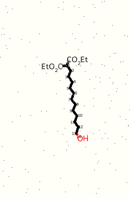 CCOC(=O)C(CCCCCCCCCCCCO)C(=O)OCC